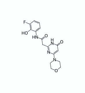 O=C(Cc1nc(N2CCOCC2)cc(=O)[nH]1)Nc1cccc(F)c1O